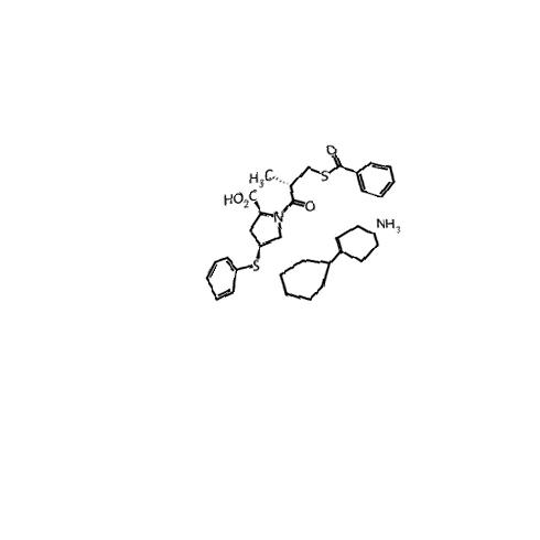 C1CCC(C2CCCCC2)CC1.C[C@H](CSC(=O)c1ccccc1)C(=O)N1C[C@@H](Sc2ccccc2)C[C@H]1C(=O)O.N